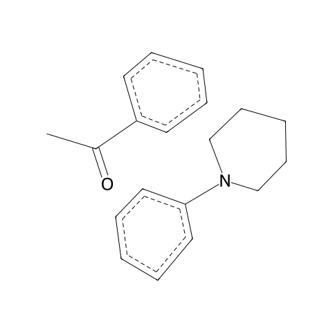 CC(=O)c1ccccc1.c1ccc(N2CCCCC2)cc1